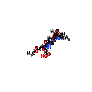 CCOC(=O)C=CCC[C@H](NC(=O)CCC(=O)O)C(=O)Nc1cccn(CC(=O)N[C@H](C(=O)OC)[C@H](C)CC)c1=O